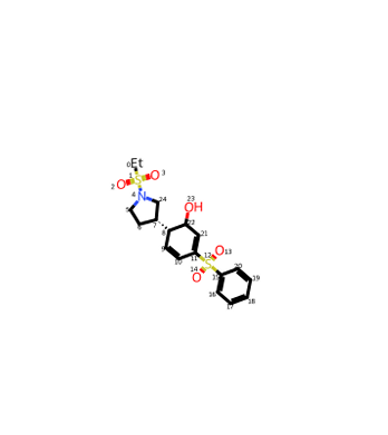 CCS(=O)(=O)N1CC[C@@H](C2C=CC(S(=O)(=O)c3ccccc3)=CC2O)C1